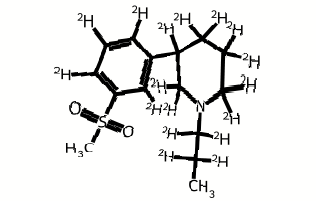 [2H]c1c([2H])c(C2([2H])C([2H])([2H])N(C([2H])([2H])C([2H])([2H])C)C([2H])([2H])C([2H])([2H])C2([2H])[2H])c([2H])c(S(C)(=O)=O)c1[2H]